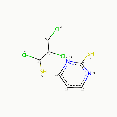 SC(Cl)C(Cl)CCl.Sc1ncccn1